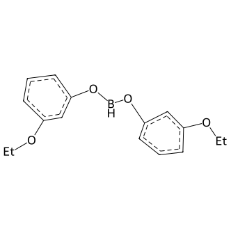 CCOc1cccc(OBOc2cccc(OCC)c2)c1